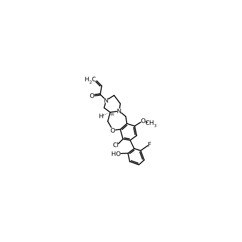 C=CC(=O)N1CCN2Cc3c(OC)cc(-c4c(O)cccc4F)c(Cl)c3OC[C@H]2C1